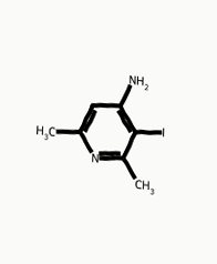 Cc1cc(N)c(I)c(C)n1